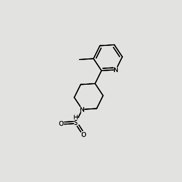 Cc1cccnc1C1CCN([SH](=O)=O)CC1